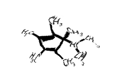 CC1=C(C)[C](C)([Hf]([CH3])[CH3])C(C)=C1C